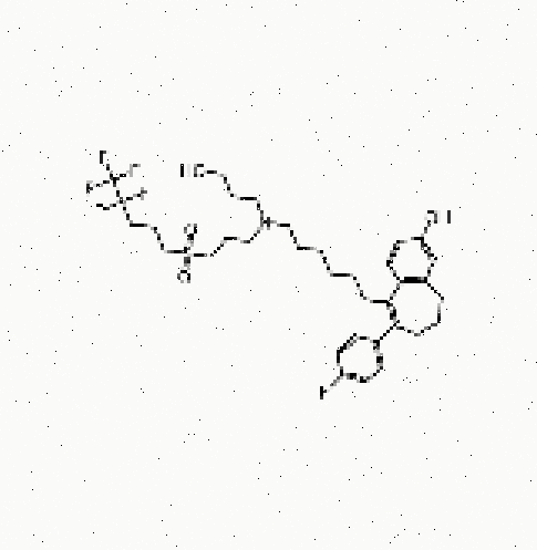 O=S(=O)(CCCN(CCCO)CCCCCCC1=C(c2ccc(F)cc2)CCCc2cc(O)ccc21)CCCC(F)(F)C(F)(F)F